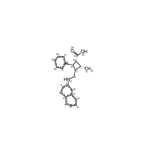 C[C@@H]1C(CNc2ccc3ccccc3c2)[C@@H](c2ccccc2)[C@@H]1C(=O)O